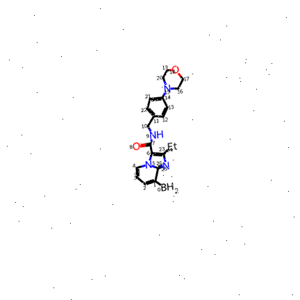 Bc1cccn2c(C(=O)NCc3ccc(N4CCOCC4)cc3)c(CC)nc12